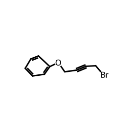 BrCC#CCOc1ccccc1